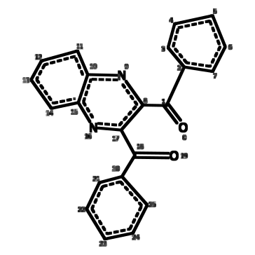 O=C(c1ccccc1)c1nc2ccccc2nc1C(=O)c1ccccc1